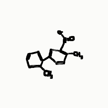 Cc1ccccc1-c1ccc(C)c([N+](=O)[O-])c1